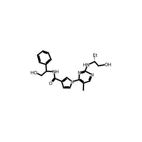 CC[C@H](CO)Nc1ncc(C)c(-n2ccc(C(=O)NC(CO)c3ccccc3)c2)n1